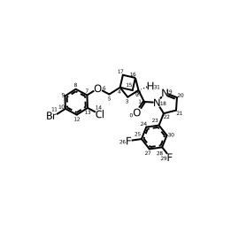 O=C([C@H]1CC2(COc3ccc(Br)cc3Cl)CC1C2)N1N=CCC1c1cc(F)cc(F)c1